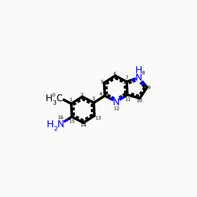 Cc1cc(-c2ccc3[nH]ccc3n2)ccc1N